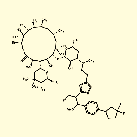 CC[C@H]1OC(=O)[C@H](C)[C@@H](C2C[C@@](C)(OC)[C@@H](O)[C@H](C)O2)[C@H](C)[C@@H](O[C@@H]2O[C@H](C)C[C@H](N(C)CCc3cn([C@H](CF)[C@H](OC)c4ccc(N5CCC(F)(F)C5)cc4)nn3)[C@H]2O)[C@](C)(O)C[C@@H](C)CN(C)[C@H](C)[C@@H](O)[C@]1(C)O